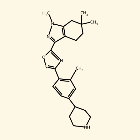 Cc1cc(C2CCNCC2)ccc1-c1noc(-c2nn(C)c3c2CCC(C)(C)C3)n1